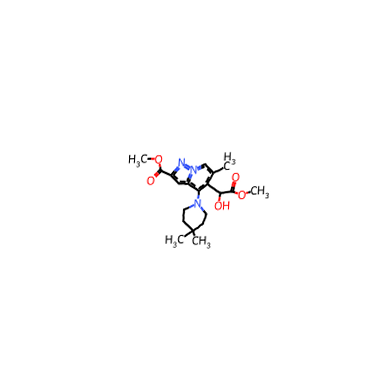 COC(=O)c1cc2c(N3CCC(C)(C)CC3)c(C(O)C(=O)OC)c(C)cn2n1